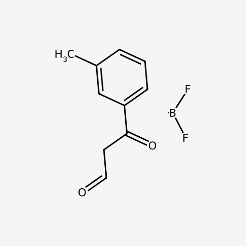 Cc1cccc(C(=O)CC=O)c1.F[B]F